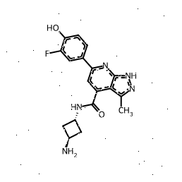 Cc1n[nH]c2nc(-c3ccc(O)c(F)c3)cc(C(=O)N[C@H]3C[C@H](N)C3)c12